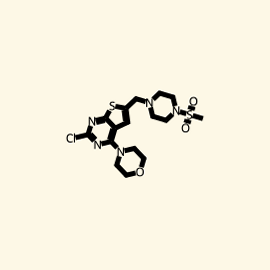 CS(=O)(=O)N1CCN(Cc2cc3c(N4CCOCC4)nc(Cl)nc3s2)CC1